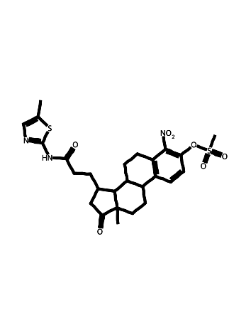 Cc1cnc(NC(=O)CCC2CC(=O)C3(C)CCC4c5ccc(OS(C)(=O)=O)c([N+](=O)[O-])c5CCC4C23)s1